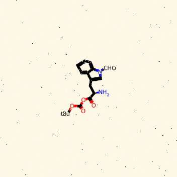 CC(C)(C)OC(=O)OC(=O)[C@H](N)Cc1cn(C=O)c2ccccc12